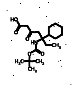 CCC(CC(=O)CC(=O)O)(NC(=O)OC(C)(C)C)C1CCCCC1